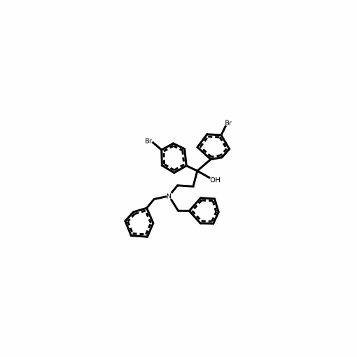 OC(CCN(Cc1ccccc1)Cc1ccccc1)(c1ccc(Br)cc1)c1ccc(Br)cc1